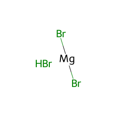 Br.[Br][Mg][Br]